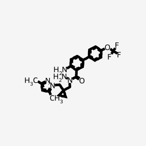 Cc1cc(C)n(CC2(CN(N)C(=O)c3cc(-c4ccc(OC(F)(F)F)cc4)ccc3N)CC2)n1